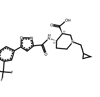 O=C(N[C@H]1CCN(CC2CC2)C[C@@H]1C(=O)O)c1cc(-c2cccc(C(F)(F)F)c2)on1